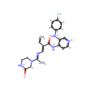 C=C/C(=C\N=C(/C)N1CCNC(=O)C1)C(=O)Nc1ccncc1Nc1ccc(F)cc1